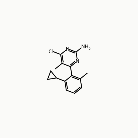 Cc1cccc(C2CC2)c1-c1nc(N)nc(Cl)c1C